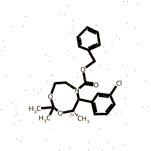 C[C@@H]1OC(C)(C)OCCN(C(=O)OCc2ccccc2)C1c1cccc(Cl)c1